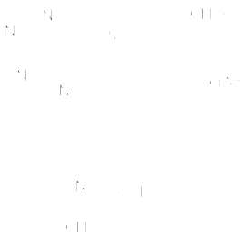 CC(=O)OC(C=O)CSc1nnnn1CCN(C)C